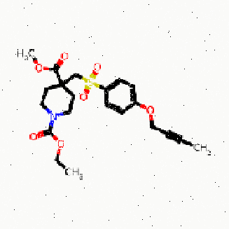 CC#CCOc1ccc(S(=O)(=O)CC2(C(=O)OC)CCN(C(=O)OCC)CC2)cc1